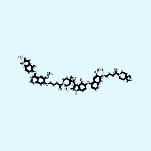 COc1cc2c(Oc3ccc4[nH]c(C)c(C5OCC56CCN(C(O)CCCOc5cc7ncnc(Oc8ccc9[nH]c(C)cc9c8F)c7cc5OC)CC6)c4c3F)ccnc2cc1OCCCC(=O)N1CCC2(CC1)COC2